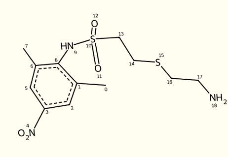 Cc1cc([N+](=O)[O-])cc(C)c1NS(=O)(=O)CCSCCN